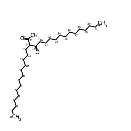 CCCCCCCCCCCCCCC(C(C)=O)C(=O)CCCCCCCCCCCCC